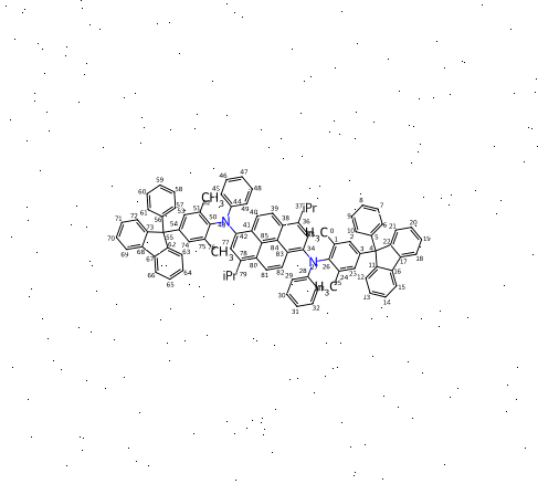 Cc1cc(C2(c3ccccc3)c3ccccc3-c3ccccc32)cc(C)c1N(c1ccccc1)c1cc(C(C)C)c2ccc3c(N(c4ccccc4)c4c(C)cc(C5(c6ccccc6)c6ccccc6-c6ccccc65)cc4C)cc(C(C)C)c4ccc1c2c43